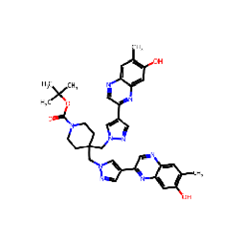 Cc1cc2ncc(-c3cnn(CC4(Cn5cc(-c6cnc7cc(C)c(O)cc7n6)cn5)CCN(C(=O)OC(C)(C)C)CC4)c3)nc2cc1O